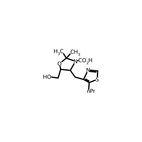 CCCc1scnc1CC1C(CO)OC(C)(C)N1C(=O)O